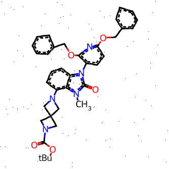 Cn1c(=O)n(-c2ccc(OCc3ccccc3)nc2OCc2ccccc2)c2cccc(N3CC4(CN(C(=O)OC(C)(C)C)C4)C3)c21